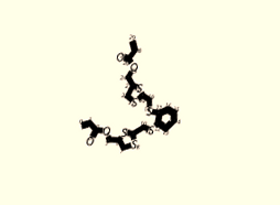 C=CC(=O)OCC1CSC(CSc2ccccc2SCC2SCC(COC(=O)C=C)S2)S1